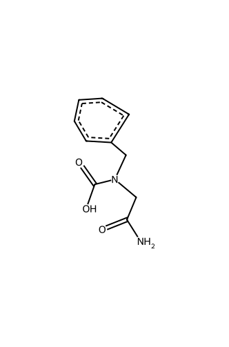 NC(=O)CN(Cc1ccccc1)C(=O)O